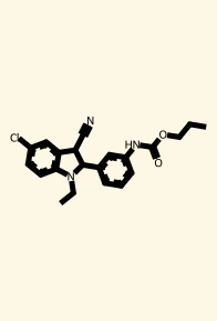 CCCOC(=O)Nc1cccc(C2C(C#N)c3cc(Cl)ccc3N2CC)c1